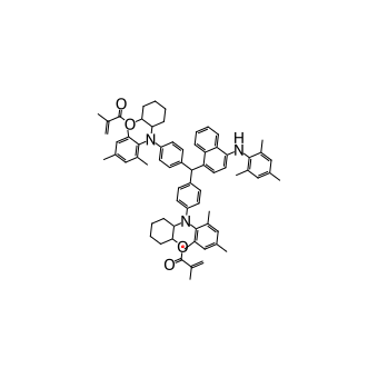 C=C(C)C(=O)OC1CCCCC1N(c1ccc(C(c2ccc(N(c3c(C)cc(C)cc3C)C3CCCCC3OC(=O)C(=C)C)cc2)c2ccc(Nc3c(C)cc(C)cc3C)c3ccccc23)cc1)c1c(C)cc(C)cc1C